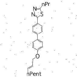 CCCCCC=CCOc1ccc(-c2ccc(-c3nnc(CCC)s3)cc2)cc1